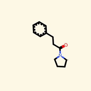 O=C(CCc1ccccc1)N1[CH]CCC1